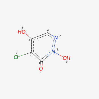 O=c1c(Cl)c(O)cnn1O